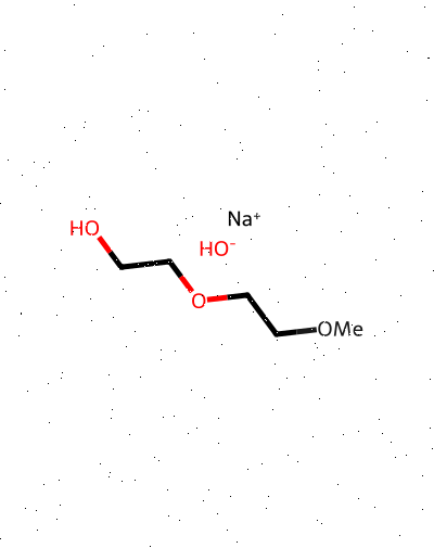 COCCOCCO.[Na+].[OH-]